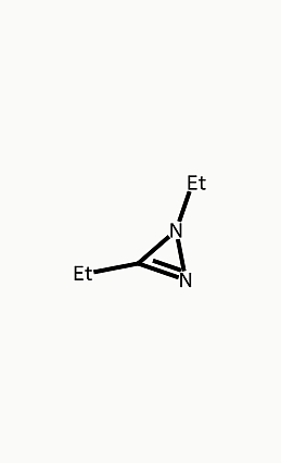 CCC1=NN1CC